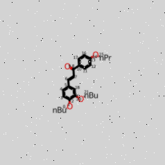 CCCCOc1ccc(C=CC(=O)c2ccc(OCCC)cc2)cc1OCCCC